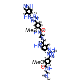 COc1cc(-c2nc(Nc3ccc4[nH]nc(CN5CC(NC(=O)c6ccc(-c7nc(Nc8ccc9[nH]ncc9c8C)n(C)n7)cc6OC)C5)c4c3C)n(C)n2)ccc1C(=O)NCCN(C)C